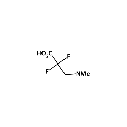 CNCC(F)(F)C(=O)O